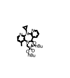 CCCCOP(=O)(CN1C(=O)c2cccnc2N(C2CC2)c2nccc(C)c21)OCCCC